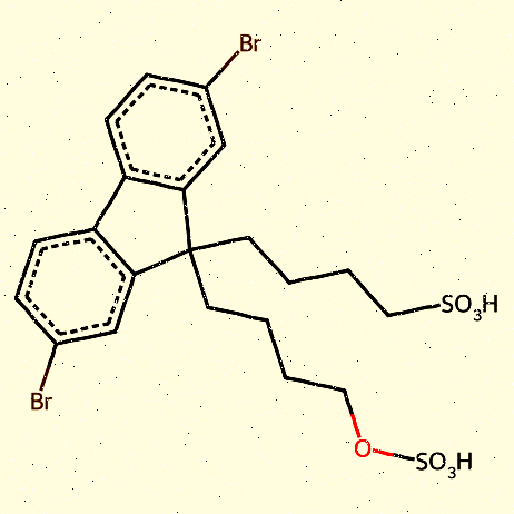 O=S(=O)(O)CCCCC1(CCCCOS(=O)(=O)O)c2cc(Br)ccc2-c2ccc(Br)cc21